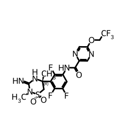 CN1C(=N)N[C@](C)(c2c(F)c(F)cc(NC(=O)c3cnc(OCC(F)(F)F)cn3)c2F)CS1(=O)=O